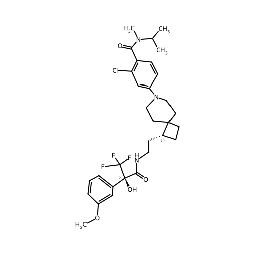 COc1cccc([C@@](O)(C(=O)NCC[C@H]2CCC23CCN(c2ccc(C(=O)N(C)C(C)C)c(Cl)c2)CC3)C(F)(F)F)c1